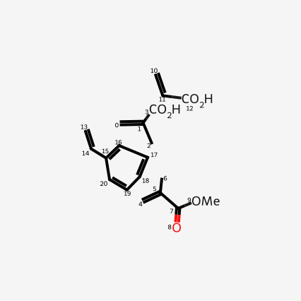 C=C(C)C(=O)O.C=C(C)C(=O)OC.C=CC(=O)O.C=Cc1ccccc1